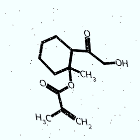 C=C(C)C(=O)OC1(C)CCCCC1C(=O)CO